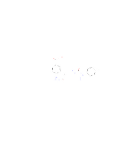 O=C(O)c1ccc2c(c1)C1(CCN(C(=O)Nc3ccc(Cl)cc3)CC1)C(=O)N2